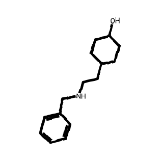 OC1CCC(CCNCc2ccccc2)CC1